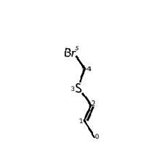 C/C=C/SCBr